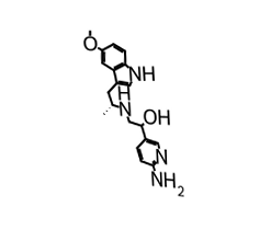 COc1ccc2[nH]cc(C[C@@H](C)NCC(O)c3ccc(N)nc3)c2c1